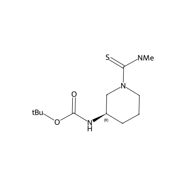 CNC(=S)N1CCC[C@@H](NC(=O)OC(C)(C)C)C1